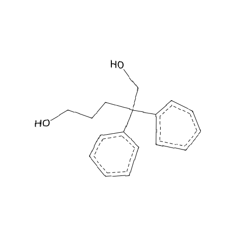 OCCCC(CO)(c1ccccc1)c1ccccc1